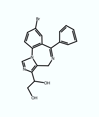 OCC(O)c1ncn2c1CN=C(c1ccccc1)c1cc(Br)ccc1-2